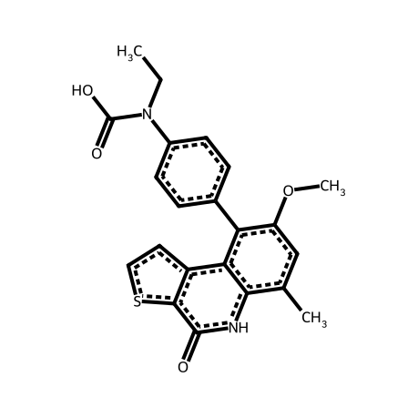 CCN(C(=O)O)c1ccc(-c2c(OC)cc(C)c3[nH]c(=O)c4sccc4c23)cc1